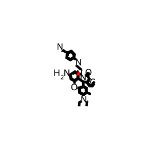 CCN(CC)c1cc2c(cc1C)C1(c3ccc(N)cc3O2)c2ccccc2C(=O)N1/N=C/C=N/c1ccc(C#N)cc1